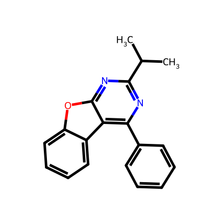 CC(C)c1nc(-c2ccccc2)c2c(n1)oc1ccccc12